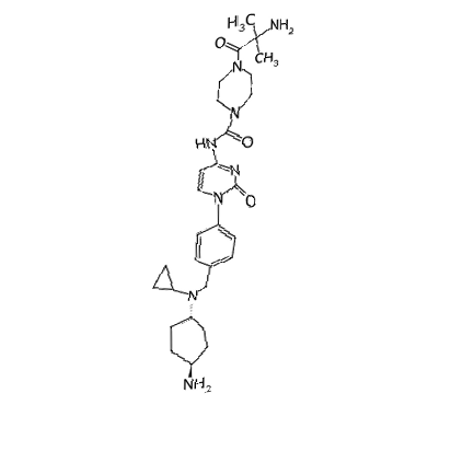 CC(C)(N)C(=O)N1CCN(C(=O)Nc2ccn(-c3ccc(CN(C4CC4)[C@H]4CC[C@H](N)CC4)cc3)c(=O)n2)CC1